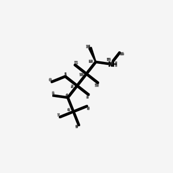 CCC(C)(C(C)C(C)(C)C)C(C)(C)[C@@H](C)NC